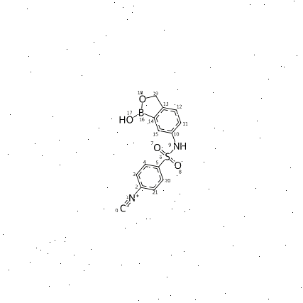 [C-]#[N+]c1ccc(S(=O)(=O)Nc2ccc3c(c2)B(O)OC3)cc1